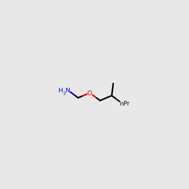 CCCC(C)COCN